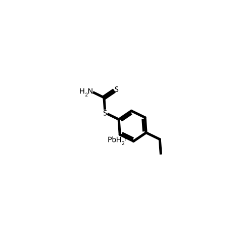 CCc1ccc(SC(N)=S)cc1.[PbH2]